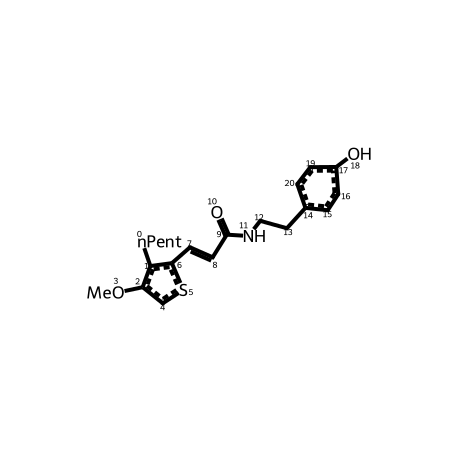 CCCCCc1c(OC)csc1C=CC(=O)NCCc1ccc(O)cc1